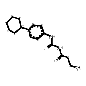 CCCC(=O)NC(=S)Nc1ccc(C2CCCCC2)cc1